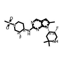 Cc1cc2cnc(N[C@@H]3CCN(S(C)(=O)=O)C[C@H]3F)nc2n1[C@H]1CC(C)(C)NC[C@H]1F